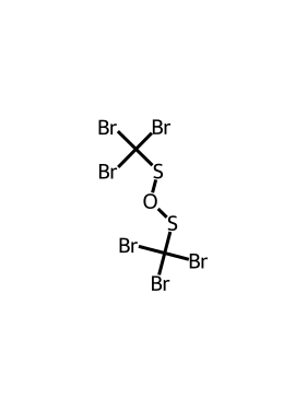 BrC(Br)(Br)SOSC(Br)(Br)Br